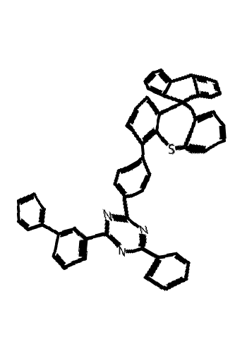 c1ccc(-c2cccc(-c3nc(-c4ccccc4)nc(-c4ccc(-c5cccc6c5Sc5ccccc5C65c6ccccc6-c6ccccc65)cc4)n3)c2)cc1